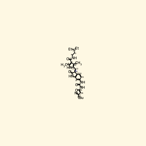 CCN(CC)CCNC(=O)c1c(C)[nH]c(/C=C2\C(=O)Nc3cc(NC(=O)Nc4cc(C(C)(C)C)no4)ccc32)c1C